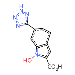 O=C(O)c1cc2ccc(-c3nn[nH]n3)cc2n1O